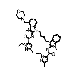 CCn1nc(C)cc1C(=O)/N=c1\n(C)c2ccccc2n1C/C=C/Cn1/c(=N/C(=O)c2cc(C)nn2CC)n(C)c2c(CN3CCOCC3)cccc21